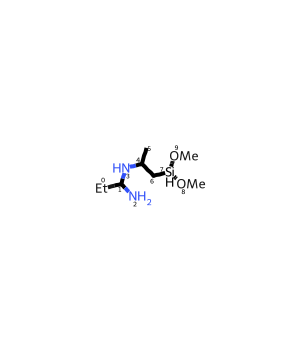 CCC(N)NC(C)C[SiH](OC)OC